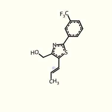 C/C=C/c1sc(-c2cccc(C(F)(F)F)c2)nc1CO